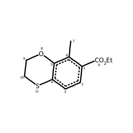 CCOC(=O)c1ccc2c(c1C)OCCS2